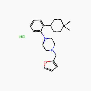 CC1(C)CCC(c2ccccc2N2CCN(Cc3ccco3)CC2)CC1.Cl